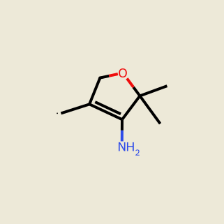 [CH2]C1=C(N)C(C)(C)OC1